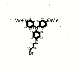 COc1ccc(N(c2ccc(OC)cc2)c2ccc(OCCCBr)cc2)cc1